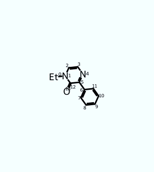 CCn1ccnc(-c2ccccc2)c1=O